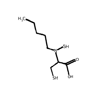 CCCCCN(S)C(CS)C(=O)O